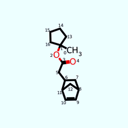 CC1(OC(=O)CC2CC3C=CC2C3)CCCC1